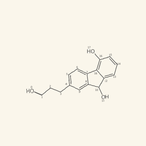 OCCCc1ccc2c(c1)C(O)c1cccc(O)c1-2